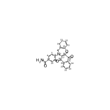 NC(=O)c1ccc(N2CC3=C(C=CCC3)OC3=C2C(=O)c2ccccc2C3=O)cc1